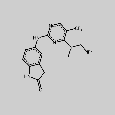 CC(C)CN(C)c1nc(Nc2ccc3c(c2)CC(=O)N3)ncc1C(F)(F)F